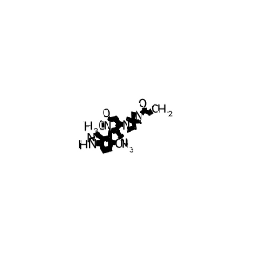 C=CC(=O)N1CC2(CCN(c3cc(=O)n(C)c(-c4c(C)ccc5[nH]ncc45)c3C#N)C2)C1